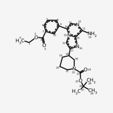 CCOC(=O)c1cccc(-c2cnc(N)c3nc(C4CCCN(C(=O)OC(C)(C)C)C4)cn23)c1